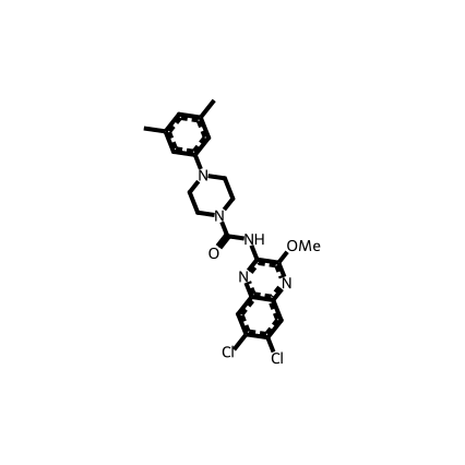 COc1nc2cc(Cl)c(Cl)cc2nc1NC(=O)N1CCN(c2cc(C)cc(C)c2)CC1